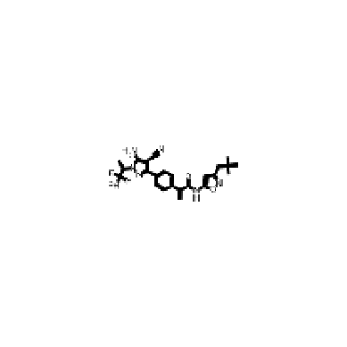 [2H]C(F)(F)C(C)n1nc(-c2ccc(C(C)C(=O)Nc3cc(CC(C)(C)C)no3)cc2)c(C#N)c1N